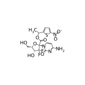 CC(OC(=O)[C@@]1(n2ccc(N)nc2=O)O[C@H](CO)[C@@H](O)C1(F)F)c1ccc([N+](=O)[O-])s1